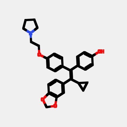 Oc1ccc(C(=C(c2ccc3c(c2)OCO3)C2CC2)c2ccc(OCCN3CCCC3)cc2)cc1